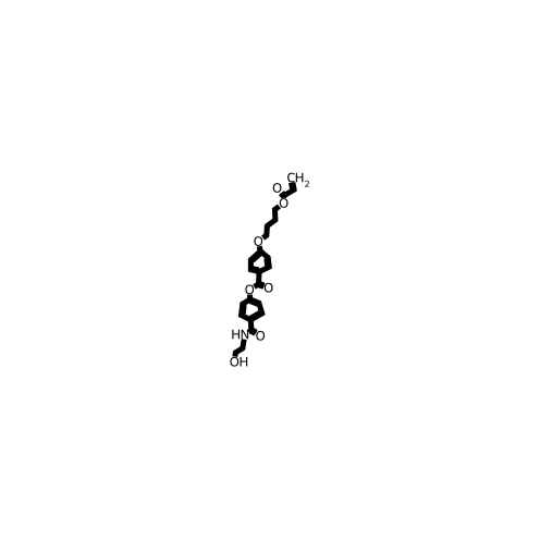 C=CC(=O)OCCCCOc1ccc(C(=O)Oc2ccc(C(=O)NCCO)cc2)cc1